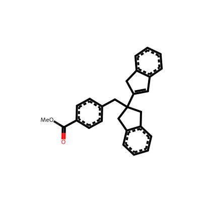 COC(=O)c1ccc(CC2(C3=Cc4ccccc4C3)Cc3ccccc3C2)cc1